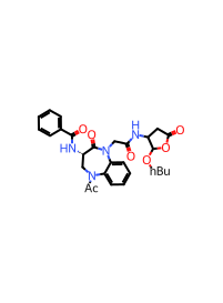 CCCCOC1OC(=O)CC1NC(=O)CN1C(=O)[C@@H](NC(=O)c2ccccc2)CN(C(C)=O)c2ccccc21